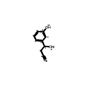 N#CCC(O)c1cccc(O)c1